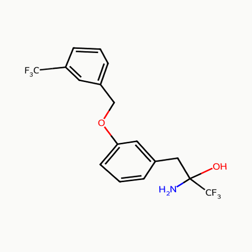 NC(O)(Cc1cccc(OCc2cccc(C(F)(F)F)c2)c1)C(F)(F)F